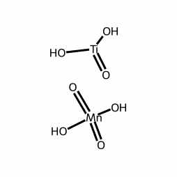 [O]=[Mn](=[O])([OH])[OH].[O]=[Ti]([OH])[OH]